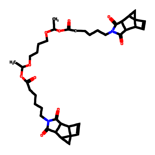 CC(OCCCCOC(C)OC(=O)CCCCCN1C(=O)C2C(C1=O)C1CC13C=CC23)OC(=O)CCCCCN1C(=O)C2C(C1=O)C1CC13C=CC23